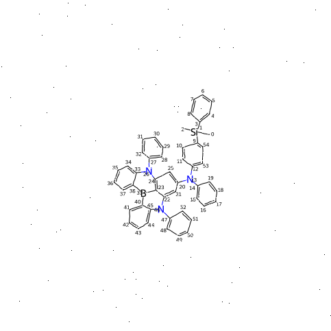 C[Si](C)(c1ccccc1)c1ccc(N(c2ccccc2)c2cc3c4c(c2)N(c2ccccc2)c2ccccc2B4c2ccccc2N3c2ccccc2)cc1